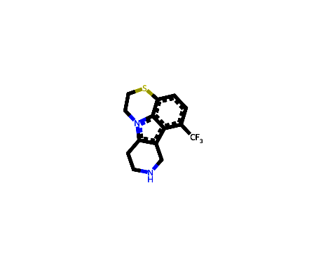 FC(F)(F)c1ccc2c3c1c1c(n3CCS2)CCNC1